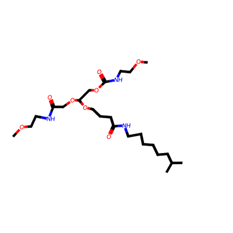 COCCNC(=O)COC(COC(=O)NCCOC)OCCCC(=O)NCCCCCCC(C)C